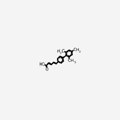 Cc1cc(C)c(-c2ccc(/C=C/C=C/C(=O)O)cc2)c(C)c1